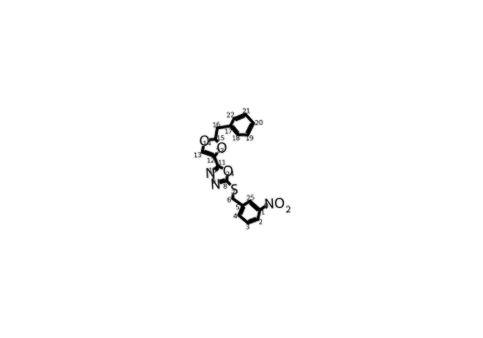 O=[N+]([O-])c1cccc(CSc2nnc(C3=COC(Cc4ccccc4)O3)o2)c1